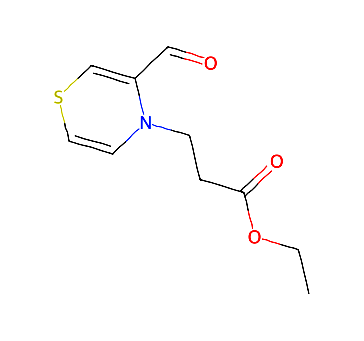 CCOC(=O)CCN1C=CSC=C1C=O